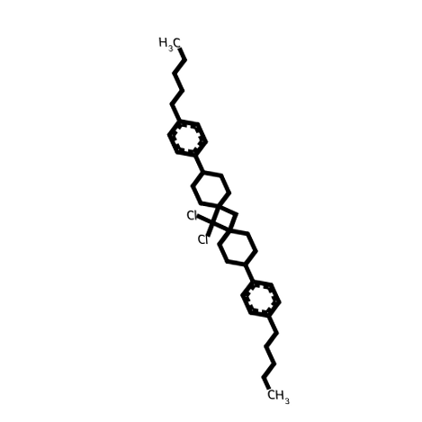 CCCCCc1ccc(C2CCC3(CC2)CC2(CCC(c4ccc(CCCCC)cc4)CC2)C3(Cl)Cl)cc1